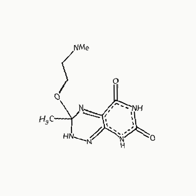 CNCCOC1(C)N=c2c(=O)[nH]c(=O)[nH]c2=NN1